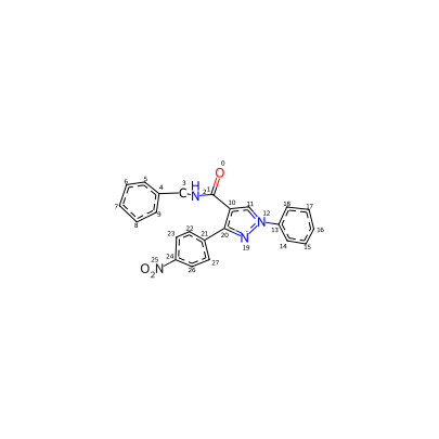 O=C(NCc1ccccc1)c1cn(-c2ccccc2)nc1-c1ccc([N+](=O)[O-])cc1